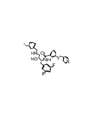 CCc1cccc(CNC[C@@H](O)[C@H](Cc2cc(F)cc(F)c2)NC(=O)c2cccc(SCc3ccncc3)c2)c1